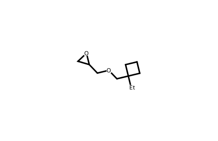 CCC1(COCC2CO2)CCC1